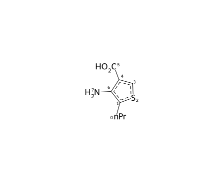 CCCc1scc(C(=O)O)c1N